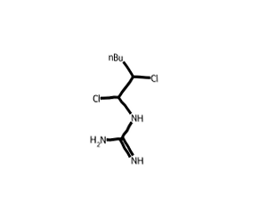 CCCCC(Cl)C(Cl)NC(=N)N